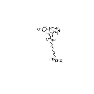 Cc1c(C(=O)NCCOCCOCCNC=O)sc2c1C(c1ccc(Cl)cc1)=NCc1nnc(C)n1-2